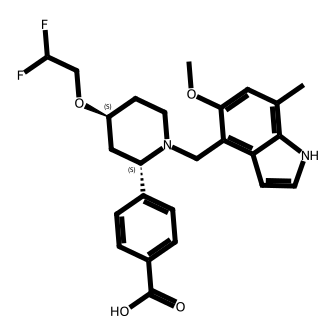 COc1cc(C)c2[nH]ccc2c1CN1CC[C@H](OCC(F)F)C[C@H]1c1ccc(C(=O)O)cc1